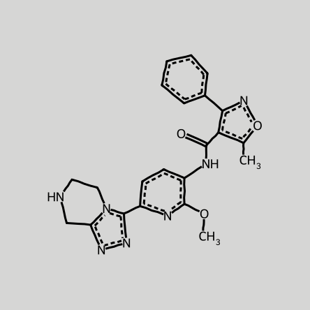 COc1nc(-c2nnc3n2CCNC3)ccc1NC(=O)c1c(-c2ccccc2)noc1C